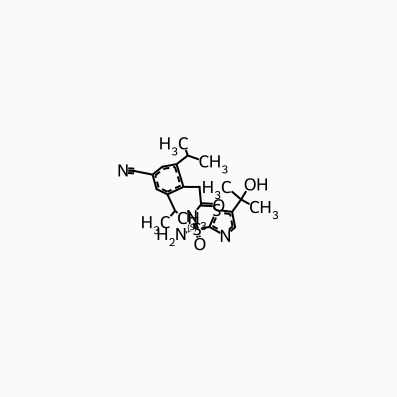 CC(C)c1cc(C#N)cc(C(C)C)c1CC(=O)N=[S@](N)(=O)c1ncc(C(C)(C)O)s1